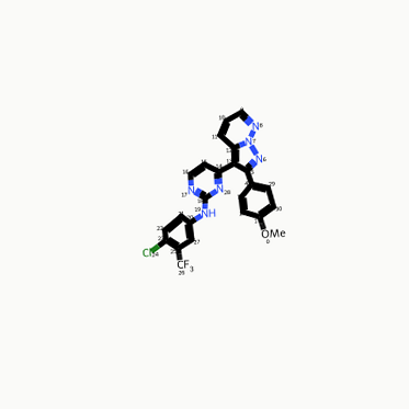 COc1ccc(-c2nn3ncccc3c2-c2ccnc(Nc3ccc(Cl)c(C(F)(F)F)c3)n2)cc1